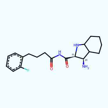 N[C@@H]1C2CCCCC2N[C@@H]1C(=O)NC(=O)CCCc1ccccc1F